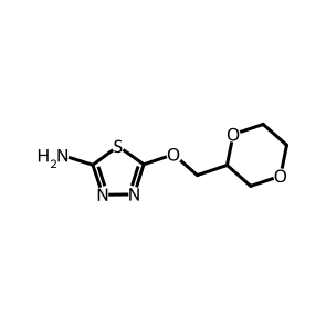 Nc1nnc(OCC2COCCO2)s1